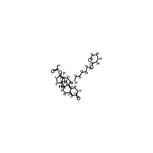 CC(=O)O[C@H]1CC[C@H]2[C@@H]3CCC4=CC(=O)CCC4=C3[C@@H](CCCCCCOC3CCCCO3)C[C@]12C